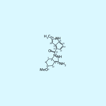 COC1CCC2C(=C(N)NN2C(=O)c2cccc3[nH]c(C)cc23)C1